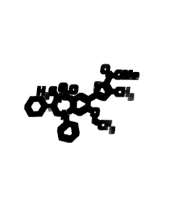 COC(=O)c1sc(-c2cc3c(cc2OCC(F)(F)F)N(c2ccccc2)C[C@@H](C2CCCCC2)N(C)S3(=O)=O)cc1C